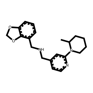 CC1CCCCN1c1cc(CNCc2cccc3c2OCO3)ccn1